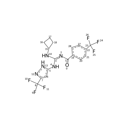 O=C(/N=C(\Nc1cc(C(F)(F)F)n[nH]1)NC1CCC1)c1ccc(C(F)(F)F)cc1